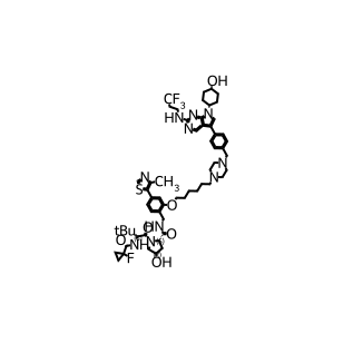 Cc1ncsc1-c1ccc(CNC(=O)[C@@H]2C[C@@H](O)CN2C(=O)[C@@H](NC(=O)C2(F)CC2)C(C)(C)C)c(OCCCCCCN2CCN(Cc3ccc(-c4cn([C@H]5CC[C@H](O)CC5)c5nc(NCCC(F)(F)F)ncc45)cc3)CC2)c1